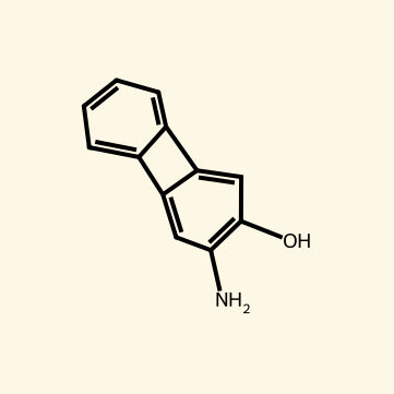 Nc1cc2c(cc1O)-c1ccccc1-2